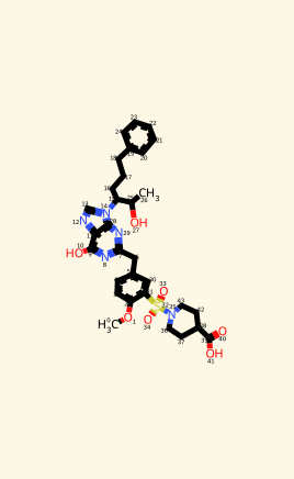 COc1ccc(Cc2nc(O)c3ncn(C(CCCc4ccccc4)C(C)O)c3n2)cc1S(=O)(=O)N1CCC(C(=O)O)CC1